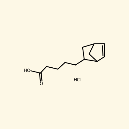 Cl.O=C(O)CCCCC1CC2C=CC1C2